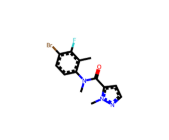 Cc1c(N(C)C(=O)c2ccnn2C)ccc(Br)c1F